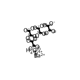 O=C([O-])C(=O)[O-].O=C([O-])C(=O)[O-].O=C([O-])C(=O)[O-].O=C([O-])C(=O)[O-].[Ba+2].[OH4+2].[Ti+4]